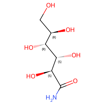 NC(=O)[C@@H](O)[C@@H](O)[C@H](O)[C@H](O)CO